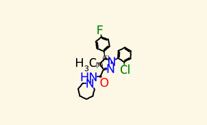 C[C@H]1C(C(=O)NN2CCCCCC2)=NN(c2ccccc2Cl)[C@@H]1c1ccc(F)cc1